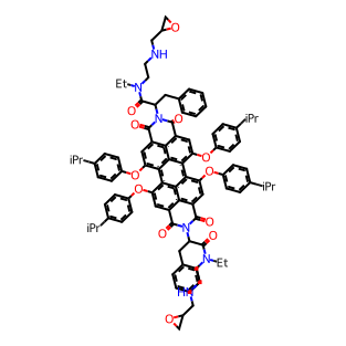 CCN(CCNCC1CO1)C(=O)C(Cc1ccccc1)N1C(=O)c2cc(Oc3ccc(C(C)C)cc3)c3c4c(Oc5ccc(C(C)C)cc5)cc5c6c(cc(Oc7ccc(C(C)C)cc7)c(c7c(Oc8ccc(C(C)C)cc8)cc(c2c37)C1=O)c64)C(=O)N(C(Cc1ccccc1)C(=O)N(CC)CCNCC1CO1)C5=O